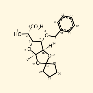 C[C@]12O[C@H]([C@H](O)C(=O)O)[C@H](OCc3ccccc3)[C@H]1OC1(CCCC1)O2